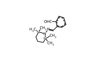 C[Si]1(C)CCC[Si](C)(C)N1N=Cc1ccccc1C=O